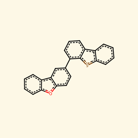 c1ccc2c(c1)oc1ccc(-c3cccc4c3sc3ccccc34)cc12